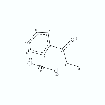 CCC(=O)c1cc[c]cc1.[Cl][Zn][Cl]